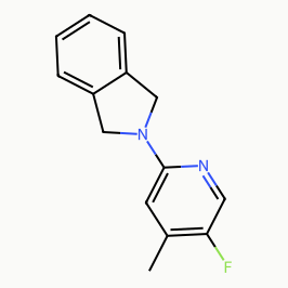 Cc1cc(N2Cc3ccccc3C2)ncc1F